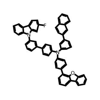 Fc1ccc2c3ccccc3n(-c3cccc(-c4ccc(N(c5ccc(-c6cccc7c6oc6ccccc67)cc5)c5cccc(-c6ccc7ccccc7c6)c5)cc4)c3)c2c1